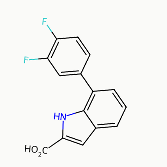 O=C(O)c1cc2cccc(-c3ccc(F)c(F)c3)c2[nH]1